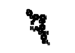 COc1cc(-c2cc3nccc(-c4ccc(OC5CCOCC5)c(C#N)c4)c3o2)ccc1C(=O)NC1CCN(C)CC1